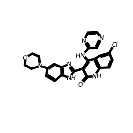 O=c1[nH]c2ccc(Cl)cc2c(Nc2cnccn2)c1-c1nc2cc(N3CCOCC3)ccc2[nH]1